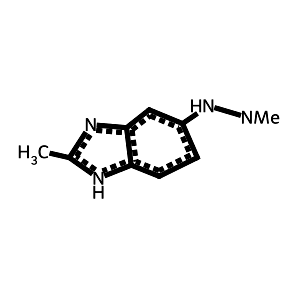 CNNc1ccc2[nH]c(C)nc2c1